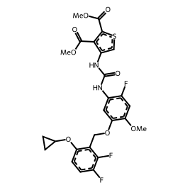 COC(=O)c1scc(NC(=O)Nc2cc(OCc3c(OC4CC4)ccc(F)c3F)c(OC)cc2F)c1C(=O)OC